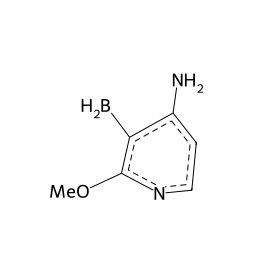 Bc1c(N)ccnc1OC